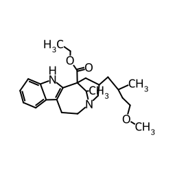 CCOC(=O)C12CC(CC(C)CCOC)CN(CCc3c1[nH]c1ccccc31)C2C